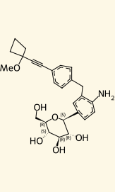 COC1(C#Cc2ccc(Cc3cc([C@@H]4O[C@H](CO)[C@@H](O)[C@H](O)[C@H]4O)ccc3N)cc2)CCC1